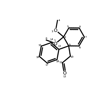 COC1(OC)C=CC=CC1(CC=O)c1ccccc1